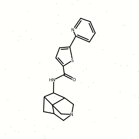 O=C(NC1C2CC3CC1CN(C3)C2)c1ccc(-c2ccccn2)s1